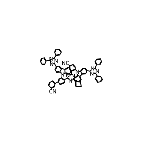 N#Cc1cccc(-c2ccc(-c3nc(-c4ccccc4)nc(-c4cc(C#N)ccc4-n4c5ccccc5c5cc(-c6nc(-c7ccccc7)nc(-c7ccccc7)n6)ccc54)n3)c(-n3c4ccccc4c4cc(-c5nc(-c6ccccc6)nc(-c6ccccc6)n5)ccc43)c2)c1